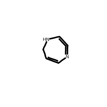 C1=CNCC=CN=1